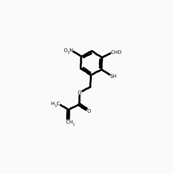 C=C(C)C(=O)OCc1cc([N+](=O)[O-])cc(C=O)c1S